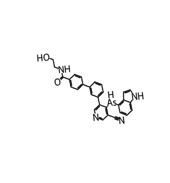 N#Cc1cncc(-c2cccc(-c3ccc(C(=O)NCCO)cc3)c2)c1[AsH]c1cccc2[nH]ccc12